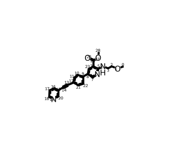 COCCNc1ncc(-c2ccc(C#Cc3cccnc3)cc2)cc1C(=O)OC